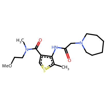 COCCN(C)C(=O)c1csc(C)c1NC(=O)CN1CCCCCC1